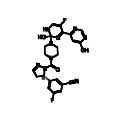 N#Cc1cc(F)cc([C@@H]2CC=NN2C(=O)N2CCN(C3(O)N=C(c4cc(O)ncn4)C(F)=CN3)CC2)c1